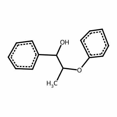 CC(Oc1ccccc1)C(O)c1ccccc1